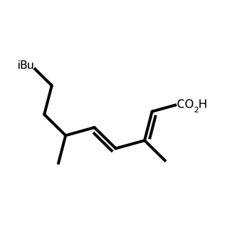 CCC(C)CCC(C)C=CC(C)=CC(=O)O